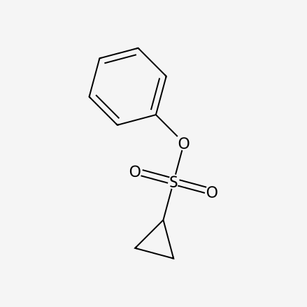 O=S(=O)(Oc1ccccc1)C1CC1